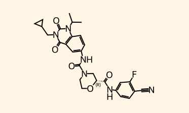 CC(C)n1c(=O)n(CC2CC2)c(=O)c2cc(NC(=O)N3CCO[C@@H](C(=O)Nc4ccc(C#N)c(F)c4)C3)ccc21